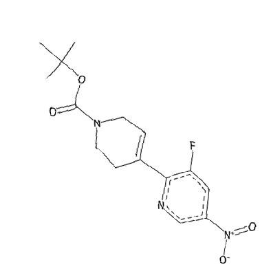 CC(C)(C)OC(=O)N1CC=C(c2ncc([N+](=O)[O-])cc2F)CC1